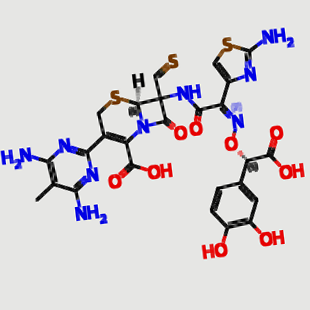 Cc1c(N)nc(C2=C(C(=O)O)N3C(=O)C(C=S)(NC(=O)/C(=N\O[C@H](C(=O)O)c4ccc(O)c(O)c4)c4csc(N)n4)[C@@H]3SC2)nc1N